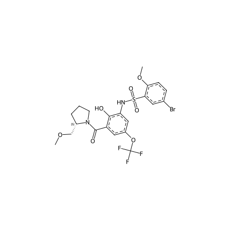 COC[C@@H]1CCCN1C(=O)c1cc(OC(F)(F)F)cc(NS(=O)(=O)c2cc(Br)ccc2OC)c1O